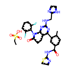 CCS(=O)(=O)O.Cc1ccc(C(=O)Nc2nccs2)cc1-c1nc(NCc2ncc[nH]2)nc2c1ccc(=O)n2-c1c(F)cccc1F